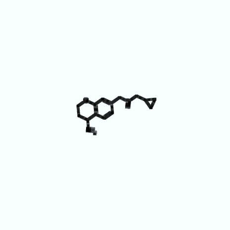 NC1CCOc2cc(CNCC3CC3)ccc21